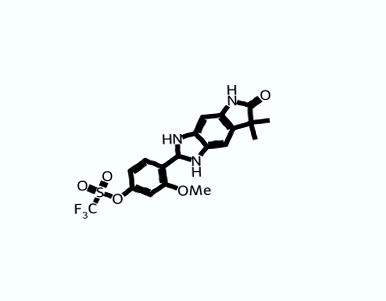 COc1cc(OS(=O)(=O)C(F)(F)F)ccc1C1Nc2cc3c(cc2N1)C(C)(C)C(=O)N3